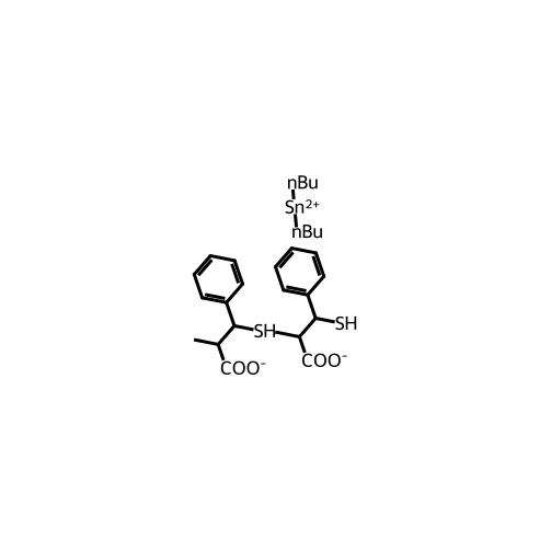 CC(C(=O)[O-])C(S)c1ccccc1.CC(C(=O)[O-])C(S)c1ccccc1.CCC[CH2][Sn+2][CH2]CCC